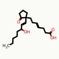 CCCCCC(O)C=CC1(CCC=CCCC(=O)O)CCCC1=O